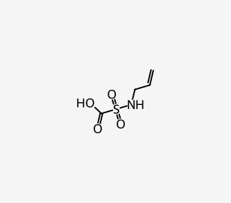 C=CCNS(=O)(=O)C(=O)O